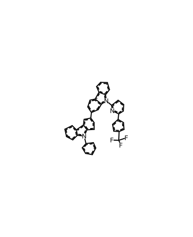 FC(F)(F)c1ccc(-c2cccc(-n3c4ccccc4c4ccc(-c5ccc6c(c5)c5ccccc5n6-c5ccccc5)cc43)n2)cc1